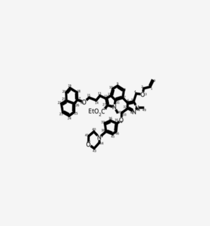 C=CCOCc1c(-c2cccc3c(CCCOc4cccc5ccccc45)c(C(=O)OCC)n(C)c23)c(COc2ccc(N3CCOCC3)cc2)nn1C